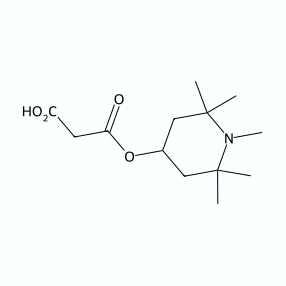 CN1C(C)(C)CC(OC(=O)CC(=O)O)CC1(C)C